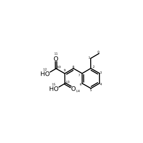 CCc1ccccc1C=C(C(=O)O)C(=O)O